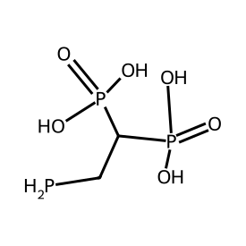 O=P(O)(O)C(CP)P(=O)(O)O